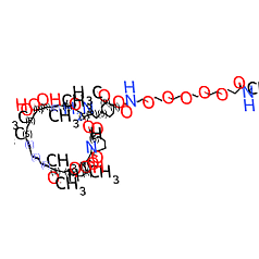 CNC(=O)CCOCCOCCOCCOCCOCCNC(=O)O[C@@H]1CC[C@@H](C[C@@H](N)[C@@H]2CC(=O)[C@H](C)/C=C(\C)[C@@H](O)[C@@H](O)C(=O)[C@H](C)C[C@H](C)/C=C/C=C/C=C(\C)[C@@H](OC)C[C@@H]3CC[C@@H](C)[C@@](O)(O3)C(=O)C(=O)N3CCCC[C@H]3C(=O)O2)C[C@H]1OC